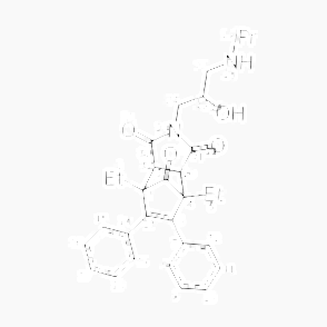 CCC12C(=O)C(CC)(C(c3ccccc3)=C1c1ccccc1)C1C(=O)N(CC(O)CNC(C)C)C(=O)C12